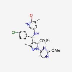 CCOC(=O)c1c(C(Nc2cc(C)c(=O)n(C)c2)c2ccc(Cl)cc2)c(C)nn1-c1ccnc(OC)n1